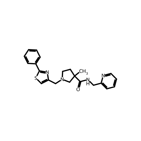 CC1(C(=O)NCc2ccccn2)CCN(Cc2csc(-c3ccccc3)n2)C1